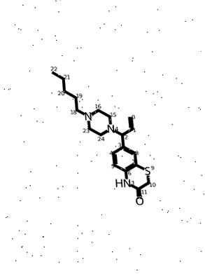 C=CC(c1ccc2c(c1)SCC(=O)N2)N1CCN(CCCCC)CC1